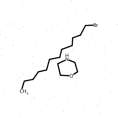 C1COCCN1.CCCCCCCCCCCCBr